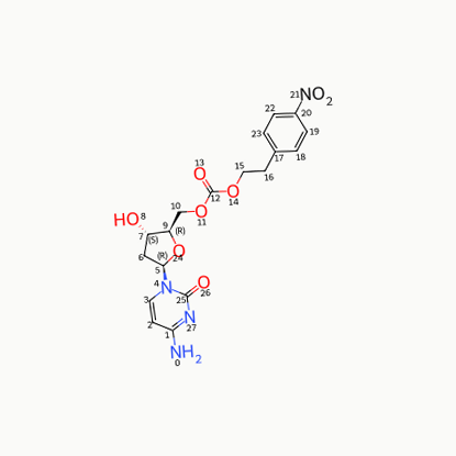 Nc1ccn([C@H]2C[C@H](O)[C@@H](COC(=O)OCCc3ccc([N+](=O)[O-])cc3)O2)c(=O)n1